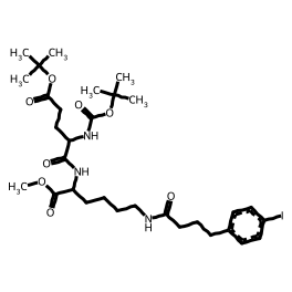 COC(=O)C(CCCCNC(=O)CCCc1ccc(I)cc1)NC(=O)C(CCC(=O)OC(C)(C)C)NC(=O)OC(C)(C)C